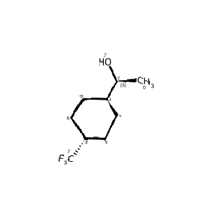 C[C@H](O)[C@H]1CC[C@H](C(F)(F)F)CC1